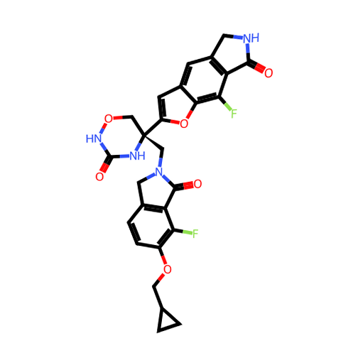 O=C1NOC[C@](CN2Cc3ccc(OCC4CC4)c(F)c3C2=O)(c2cc3cc4c(c(F)c3o2)C(=O)NC4)N1